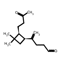 C=C(CCC=O)[C@H]1CC(C)(C)[C@H]1CCC(C)=O